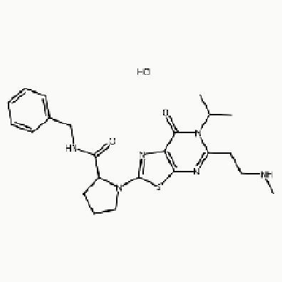 CNCCc1nc2sc(N3CCCC3C(=O)NCc3ccccc3)nc2c(=O)n1C(C)C.Cl